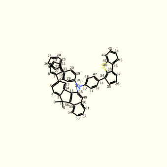 CC1(C)c2ccc(-c3ccccc3)cc2-c2c(N(c3ccc(-c4ccccc4)cc3)c3ccc(-c4cccc5c4sc4ccccc45)cc3)cc3ccccc3c21